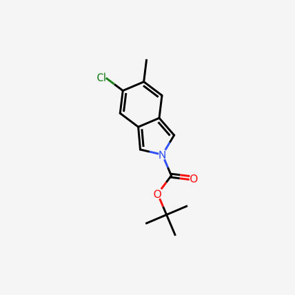 Cc1cc2cn(C(=O)OC(C)(C)C)cc2cc1Cl